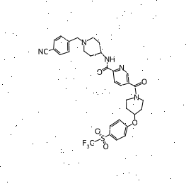 N#Cc1ccc(CN2CCC(NC(=O)c3ccc(C(=O)N4CCC(Oc5ccc(S(=O)(=O)C(F)(F)F)cc5)CC4)cn3)CC2)cc1